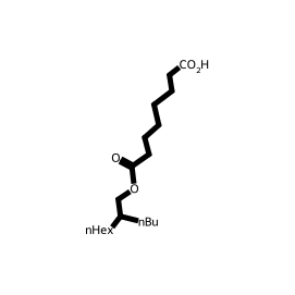 CCCCCCC(CCCC)COC(=O)CCCCCCC(=O)O